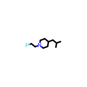 CC(C)CC1CCN(CCF)CC1